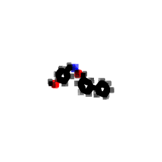 COc1ccc(/[C]=N\OCc2cccc(-c3ccccc3)c2)cc1